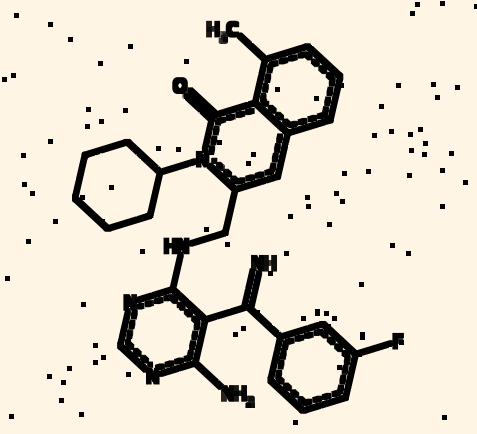 Cc1cccc2cc(CNc3ncnc(N)c3C(=N)c3cccc(F)c3)n(C3CCCCC3)c(=O)c12